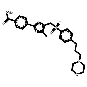 COC(=O)c1ccc(-c2nc(CS(=O)(=O)c3ccc(CCCN4CCOCC4)cc3)c(C)o2)cc1